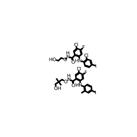 Cc1cc(I)ccc1Nc1cc(F)c(Cl)cc1C(=O)NOCC(C)(C)CO.O=C(NOCCO)c1cc(Cl)c(F)cc1Nc1ccc(I)cc1Cl